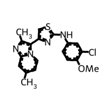 COc1ccc(Nc2nc(-c3c(C)nc4cc(C)ccn34)cs2)cc1Cl